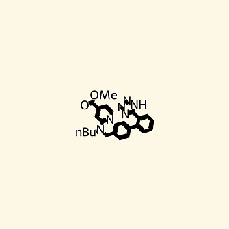 CCCCN(Cc1ccc(-c2ccccc2-c2nnn[nH]2)cc1)c1cc(C(=O)OC)ccn1